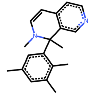 Cc1cc(C)c(C)c(C2(C)c3cnccc3C=CN2C)c1